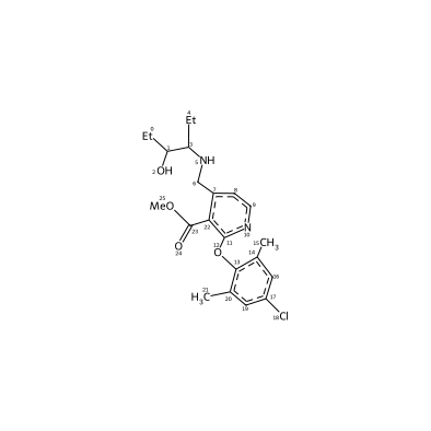 CCC(O)C(CC)NCc1ccnc(Oc2c(C)cc(Cl)cc2C)c1C(=O)OC